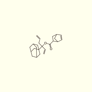 C=CCC(C=C)(OC(=O)C1CC2C=CC1C2)C12CC3CC(CC(C3)C1)C2